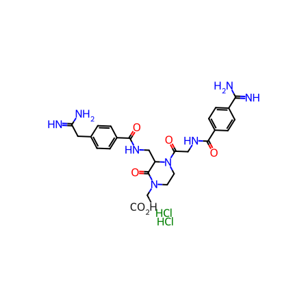 Cl.Cl.N=C(N)Cc1ccc(C(=O)NCC2C(=O)N(CC(=O)O)CCN2C(=O)CNC(=O)c2ccc(C(=N)N)cc2)cc1